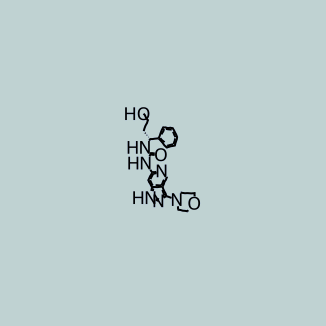 O=C(Nc1cc2[nH]nc(N3CCOCC3)c2cn1)N[C@H](CCO)c1ccccc1